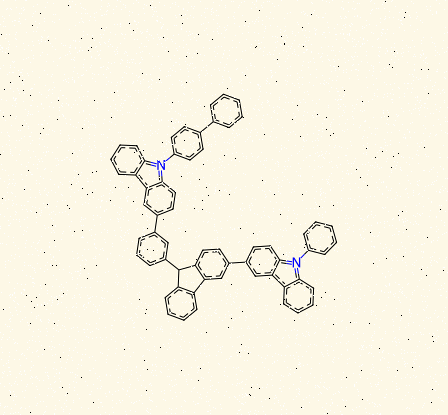 c1ccc(-c2ccc(-n3c4ccccc4c4cc(-c5cccc(C6c7ccccc7-c7cc(-c8ccc9c(c8)c8ccccc8n9-c8ccccc8)ccc76)c5)ccc43)cc2)cc1